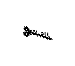 C=CCCCC(O)CCCCCCO[Si](c1ccccc1)(c1ccccc1)C(C)(C)C